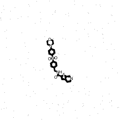 O=C(NCc1ccc(S(=O)(=O)c2ccc(N3CCOCC3)cc2)cc1)c1cc2ccncc2s1